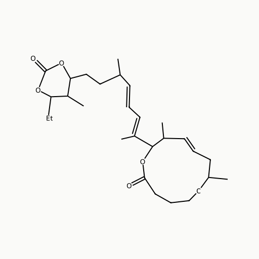 CCC1OC(=O)OC(CCC(C)C=CC=C(C)C2OC(=O)CCCCC(C)C/C=C/C2C)C1C